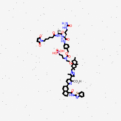 Cc1c(-c2ccc(-c3ccc4cccc(C(=O)Nc5nc6ccccc6s5)c4c3)nc2C(=O)O)cnn1CC1(C)CC2(C)CC(C)CC2(OCCN(CCCP(=O)(O)O)C(=O)OCc2ccc(NC(=O)[C@H](CCCNC(N)=O)NC(=O)[C@@H](NC(=O)CCCCCN3C(=O)C=CC3=O)C(C)C)cc2)C1